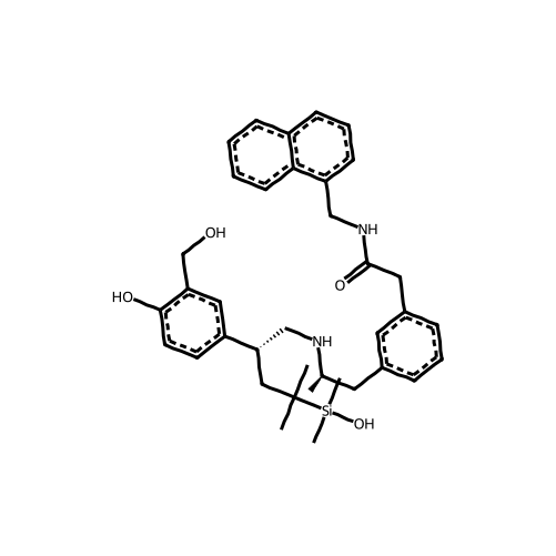 C[C@H](Cc1cccc(CC(=O)NCc2cccc3ccccc23)c1)NC[C@H](CC(C)(C)[Si](C)(C)O)c1ccc(O)c(CO)c1